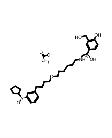 CC(=O)O.[O-][S+](c1cccc(CCCCOCCCCCCNC[C@H](O)c2ccc(O)c(CO)c2)c1)C1CCCC1